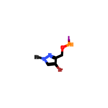 CCn1cc(Br)c(COPI)n1